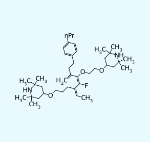 C=C(CCc1ccc(CCC)cc1)/C(OCCOC1CC(C)(C)NC(C)(C)C1)=C(F)\C(=C/C)CCCOC1CC(C)(C)NC(C)(C)C1